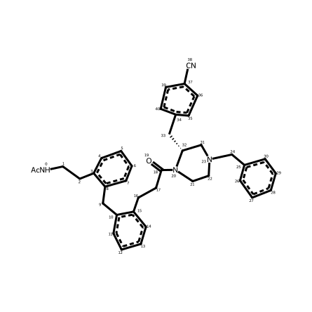 CC(=O)NCCc1ccccc1Cc1ccccc1CCC(=O)N1CCN(Cc2ccccc2)C[C@H]1Cc1ccc(C#N)cc1